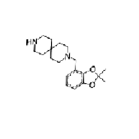 CC1(C)Oc2cccc(CN3CCC4(CCNCC4)CC3)c2O1